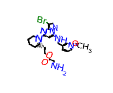 CO[n+]1cccc(CNc2cc(N3CCCC[C@H]3CCOC(=O)CN)nc3c(Br)cnn23)c1